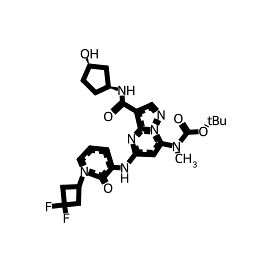 CN(C(=O)OC(C)(C)C)c1cc(Nc2cccn(C3CC(F)(F)C3)c2=O)nc2c(C(=O)N[C@H]3CC[C@H](O)C3)cnn12